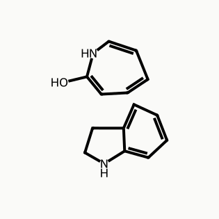 OC1=CC=CC=CN1.c1ccc2c(c1)CCN2